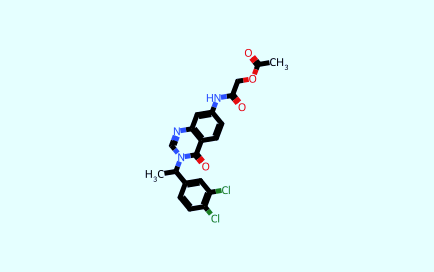 CC(=O)OCC(=O)Nc1ccc2c(=O)n(C(C)c3ccc(Cl)c(Cl)c3)cnc2c1